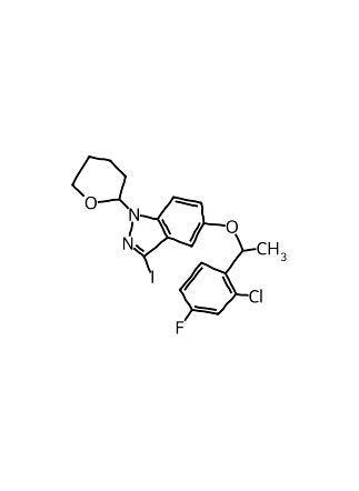 CC(Oc1ccc2c(c1)c(I)nn2C1CCCCO1)c1ccc(F)cc1Cl